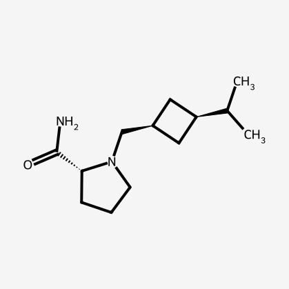 CC(C)[C@H]1C[C@@H](CN2CCC[C@@H]2C(N)=O)C1